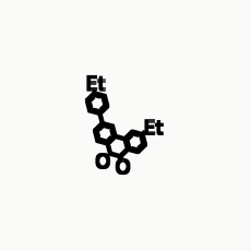 CCc1ccc(-c2ccc3c(c2)-c2cc(CC)ccc2C(=O)C3=O)cc1